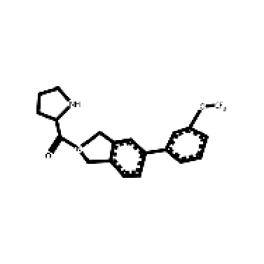 O=C(C1CCCN1)N1Cc2ccc(-c3cccc(OC(F)(F)F)c3)cc2C1